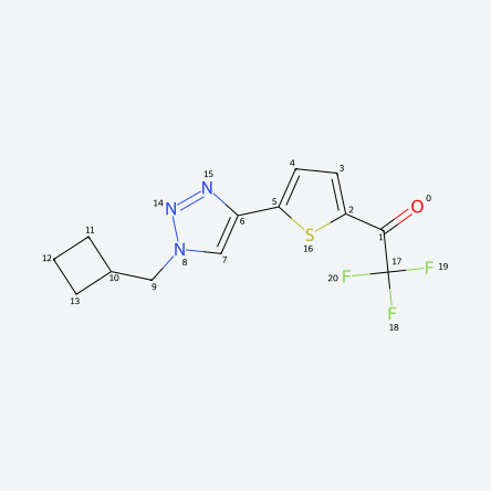 O=C(c1ccc(-c2cn(CC3CCC3)nn2)s1)C(F)(F)F